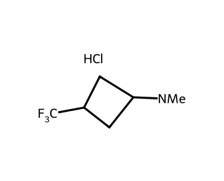 CNC1CC(C(F)(F)F)C1.Cl